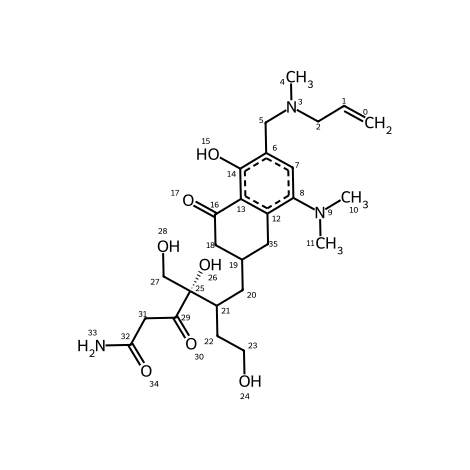 C=CCN(C)Cc1cc(N(C)C)c2c(c1O)C(=O)CC(CC(CCO)[C@](O)(CO)C(=O)CC(N)=O)C2